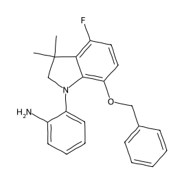 CC1(C)CN(c2ccccc2N)c2c(OCc3ccccc3)ccc(F)c21